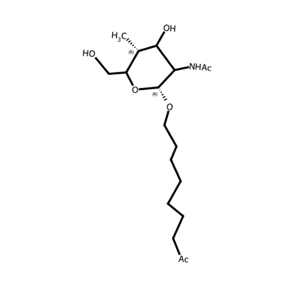 CC(=O)CCCCCCCO[C@@H]1OC(CO)[C@H](C)C(O)C1NC(C)=O